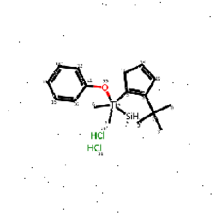 CC(C)(C)C1=[C]([Ti]([CH3])([CH3])([SiH3])[O]c2ccccc2)CC=C1.Cl.Cl